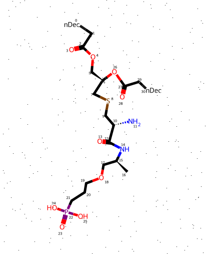 CCCCCCCCCCCC(=O)OC[C@H](CSC[C@H](N)C(=O)N[C@@H](C)COCCCP(=O)(O)O)OC(=O)CCCCCCCCCCC